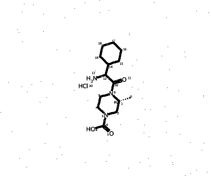 C[C@@H]1CN(C(=O)O)CCN1C(=O)C(N)C1CCCCC1.Cl